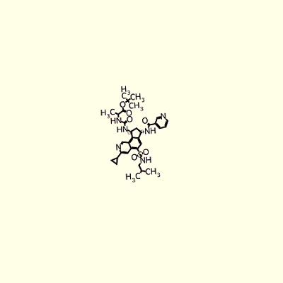 CC(C)CNS(=O)(=O)c1cc2c(c3cnc(C4CC4)cc13)[C@@H](NC(=O)NC(C)C(=O)OC(C)(C)C)C[C@@H]2NC(=O)c1cccnc1